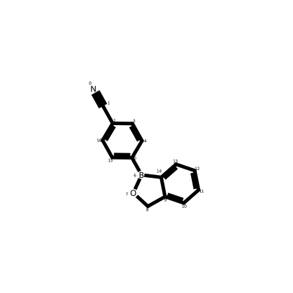 N#Cc1ccc(B2OCc3ccccc32)cc1